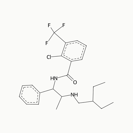 CCC(CC)CNC(C)C(NC(=O)c1cccc(C(F)(F)F)c1Cl)c1ccccc1